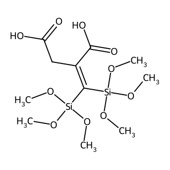 CO[Si](OC)(OC)C(=C(CC(=O)O)C(=O)O)[Si](OC)(OC)OC